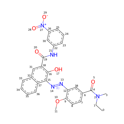 CCN(C)C(=O)c1ccc(OC)c(/N=N/c2c(O)c(C(=O)Nc3cccc([N+](=O)[O-])c3)cc3ccccc23)c1